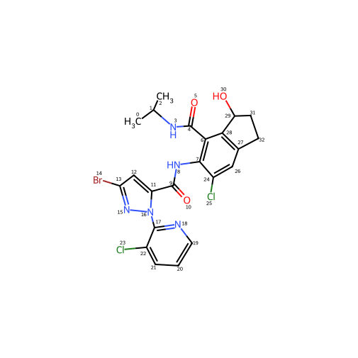 CC(C)NC(=O)c1c(NC(=O)c2cc(Br)nn2-c2ncccc2Cl)c(Cl)cc2c1C(O)CC2